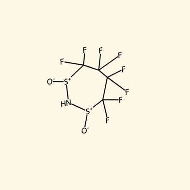 [O-][S+]1N[S+]([O-])C(F)(F)C(F)(F)C(F)(F)C1(F)F